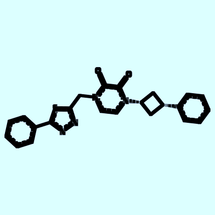 O=c1c(=O)n([C@H]2C[C@@H](c3ccccc3)C2)ccn1Cc1nnc(-c2ccccc2)s1